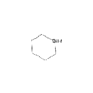 C1C[CH2][BiH][CH2]C1